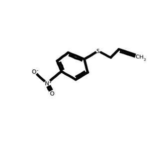 C=CCSc1ccc([N+](=O)[O-])cc1